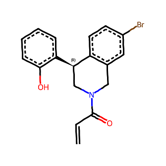 C=CC(=O)N1Cc2cc(Br)ccc2[C@H](c2ccccc2O)C1